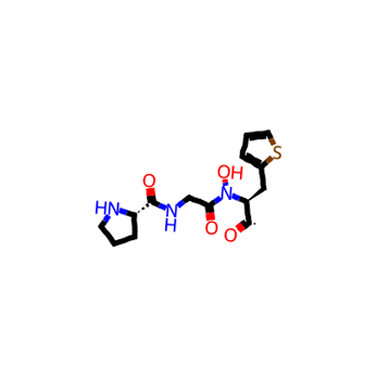 O=[C][C@H](Cc1cccs1)N(O)C(=O)CNC(=O)[C@@H]1CCCN1